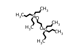 CCC[Si](CCC)(CCC)OCCO[Si](CCC)(CCC)CCC